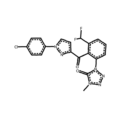 Cn1nnn(-c2cccc(C(F)F)c2C(=O)c2ccn(-c3ccc(Cl)cc3)n2)c1=O